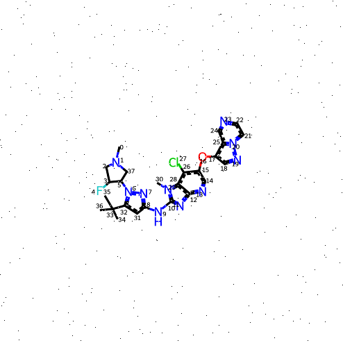 CN1CC(F)C(n2nc(Nc3nc4ncc(Oc5cnn6ccncc56)c(Cl)c4n3C)cc2C(C)(C)C)C1